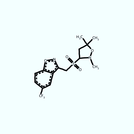 CN1OC(C)(C)CC1S(=O)(=O)Cc1noc2ccc(C(F)(F)F)cc12